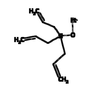 C=CC[Si](CC=C)(CC=C)O[CH]C